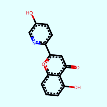 O=c1cc(-c2ccc(O)cn2)oc2cccc(O)c12